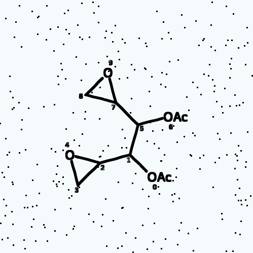 CC(=O)OC(C1CO1)C(OC(C)=O)C1CO1